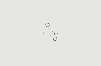 Cc1ccc(S(=O)(=O)NC(CCc2ccccc2)CC(C)C)cc1